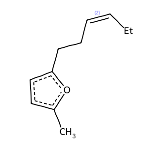 CC/C=C\CCc1ccc(C)o1